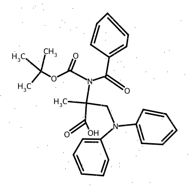 CC(C)(C)OC(=O)N(C(=O)c1ccccc1)C(C)(CN(c1ccccc1)c1ccccc1)C(=O)O